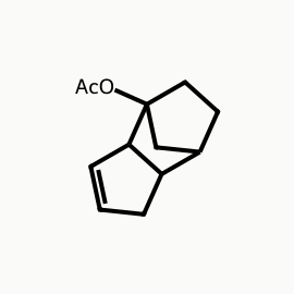 CC(=O)OC12CCC(C1)C1CC=CC12